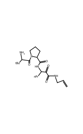 C=CCNC(=O)C(=O)C(CCC)NC(=O)C1CCCN1C(=O)C(N)C(C)(C)C